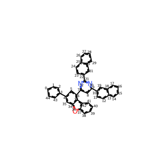 c1ccc(-c2cc(-c3cc(-c4ccc5ccccc5c4)nc(-c4ccc5ccccc5c4)n3)c3c(c2)oc2ccccc23)cc1